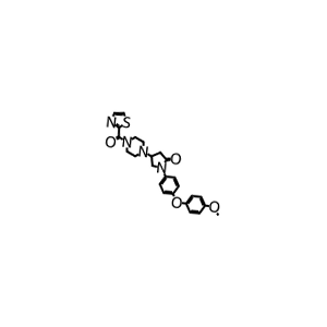 COc1ccc(Oc2ccc(N3CC(N4CCN(C(=O)c5nccs5)CC4)CC3=O)cc2)cc1